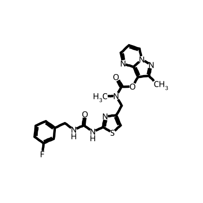 Cc1nn2cccnc2c1OC(=O)N(C)Cc1csc(NC(=O)NCc2cccc(F)c2)n1